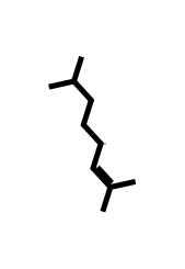 CC(C)=C[CH]CCC(C)C